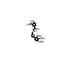 COc1ccc(C2CCC(CNCC(O)c3ccc(O)c(CO)c3)O2)c(OC)c1OC